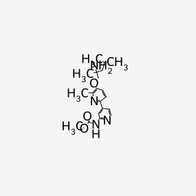 COC(=O)Nc1cc(-c2ccc(OCC(C)(N)CC(C)C)c(C)n2)ccn1